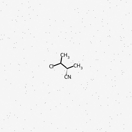 CC(Cl)[C@H](C)C#N